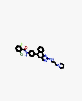 O=C(Nc1ccc(C2Cc3cnc(NCCCN4CCCC4)nc3-c3ccccc32)cc1)c1c(F)cccc1Cl